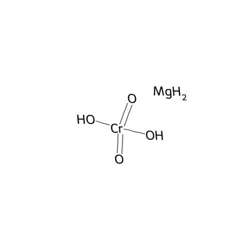 [MgH2].[O]=[Cr](=[O])([OH])[OH]